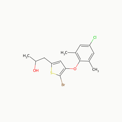 Cc1cc(Cl)cc(C)c1Oc1cc(CC(C)O)sc1Br